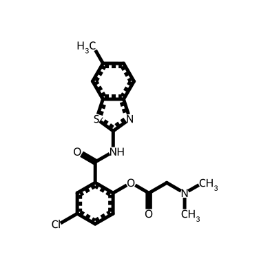 Cc1ccc2nc(NC(=O)c3cc(Cl)ccc3OC(=O)CN(C)C)sc2c1